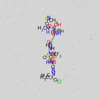 Cc1ncsc1-c1ccc([C@H](C)NC(=O)C[C@@H]2C[C@@H](O)CN2C(=O)[C@@H](NC(=O)CCCCCC(=O)N2C[C@H]3C[C@@H]2CN3CC[C@H](CSc2ccccc2)Nc2ccc(S(=O)(=O)NC(=O)c3ccc(N4CCN(CC5=C(c6ccc(Cl)cc6)CCC(C)(C)C5)CC4)cc3)cc2S(=O)(=O)C(F)(F)F)C(C)(C)C)cc1